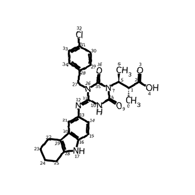 C[C@@H](C(=O)O)[C@H](C)n1c(=O)[nH]/c(=N\c2ccc3[nH]c4c(c3c2)CCCC4)n(Cc2ccc(Cl)cc2)c1=O